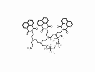 CC(C)(CN)NCCN(CCN(CCN)CCN1C(=O)c2cccc3cccc(c23)C1=O)CCN(CCN1C(=O)c2cccc3cccc(c23)C1=O)CCN(CCN1C(=O)c2cccc3cccc(c23)C1=O)C(C)(C)CN